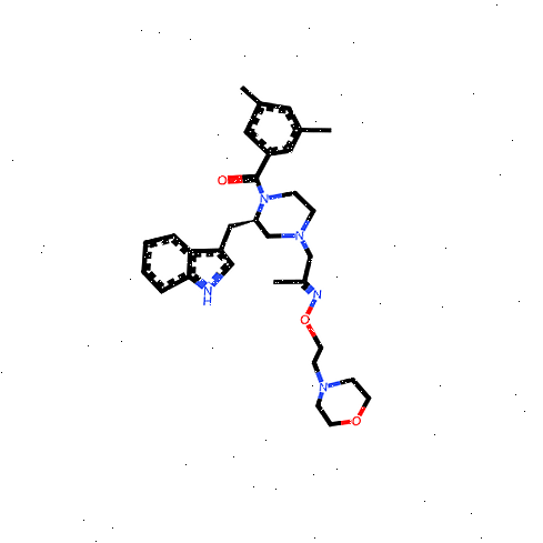 C/C(CN1CCN(C(=O)c2cc(C)cc(C)c2)[C@H](Cc2c[nH]c3ccccc23)C1)=N\OCCN1CCOCC1